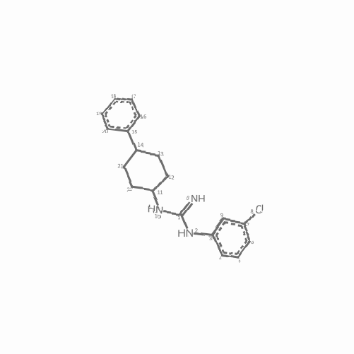 N=C(Nc1cccc(Cl)c1)NC1CCC(c2ccccc2)CC1